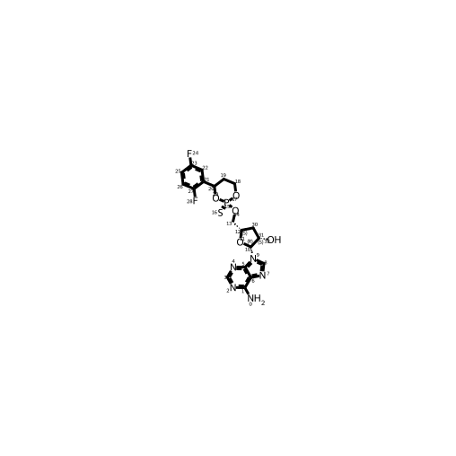 Nc1ncnc2c1ncn2[C@@H]1O[C@H](COP2(=S)OCCC(c3cc(F)ccc3F)O2)C[C@@H]1O